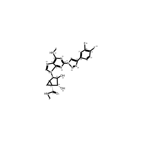 CNC(=O)[C@]12CC1[C@@H](n1cnc3c(NC)nc(-n4cc(-c5ccc(F)c(F)c5)nn4)nc31)C(O)[C@@H]2O